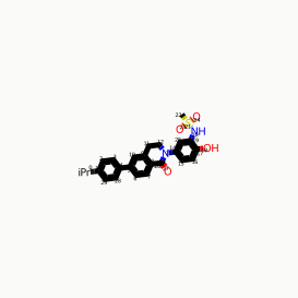 CC(C)c1ccc(-c2ccc3c(c2)CCN(c2ccc(O)c(NS(C)(=O)=O)c2)C3=O)cc1